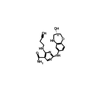 C#CCCNc1nc(Nc2ccc3c(c2)NC[C@H](O)CO3)ncc1C(N)=O